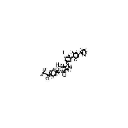 Cc1cc(-n2cccn2)ccc1-c1cccc(-n2ncc3c(=O)n(CC4(O)CCN(C(=O)C5CC5)CC4)cnc32)c1